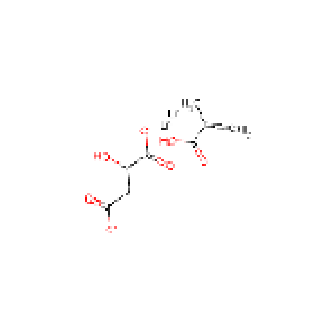 C=C(C)C(=O)O.O=C([O-])CC(O)C(=O)[O-].[Li+].[Li+]